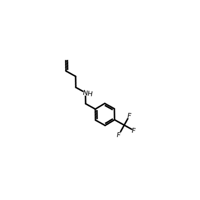 C=CCCNCc1ccc(C(F)(F)F)cc1